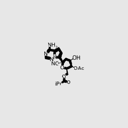 CC(=O)O[C@H]1[C@@H](O)C[C@](C#N)(c2ccc3c(N)ncnn23)O[C@@H]1COC(=O)C(C)C